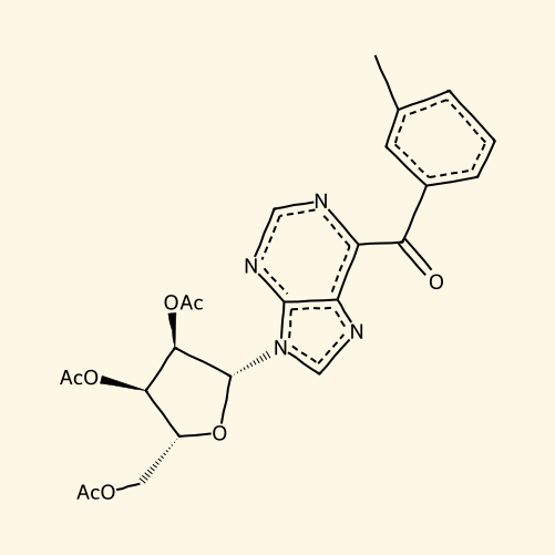 CC(=O)OC[C@H]1O[C@@H](n2cnc3c(C(=O)c4cccc(C)c4)ncnc32)[C@H](OC(C)=O)[C@@H]1OC(C)=O